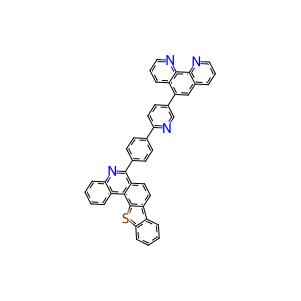 c1cnc2c(c1)cc(-c1ccc(-c3ccc(-c4nc5ccccc5c5c4ccc4c6ccccc6sc45)cc3)nc1)c1cccnc12